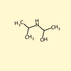 C[C](O)NC(C)C